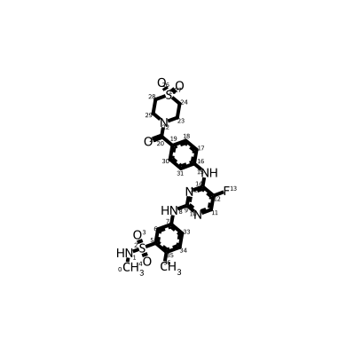 CNS(=O)(=O)c1cc(Nc2ncc(F)c(Nc3ccc(C(=O)N4CCS(=O)(=O)CC4)cc3)n2)ccc1C